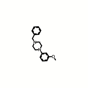 COc1cccc(N2C[CH]N(Cc3ccccc3)CC2)c1